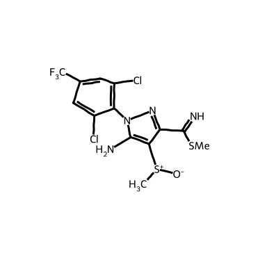 CSC(=N)c1nn(-c2c(Cl)cc(C(F)(F)F)cc2Cl)c(N)c1[S+](C)[O-]